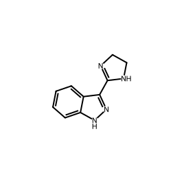 c1ccc2c(C3=NCCN3)n[nH]c2c1